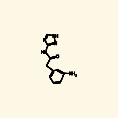 Nc1cccc(CC(=O)Nc2nc[nH]n2)c1